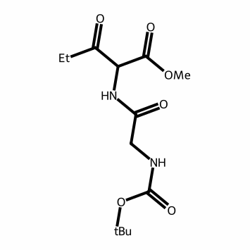 CCC(=O)C(NC(=O)CNC(=O)OC(C)(C)C)C(=O)OC